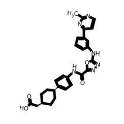 Cc1nccc(-c2cccc(Nc3nnc(C(=O)Nc4ccc([C@H]5CC[C@H](CC(=O)O)CC5)cc4)o3)c2)n1